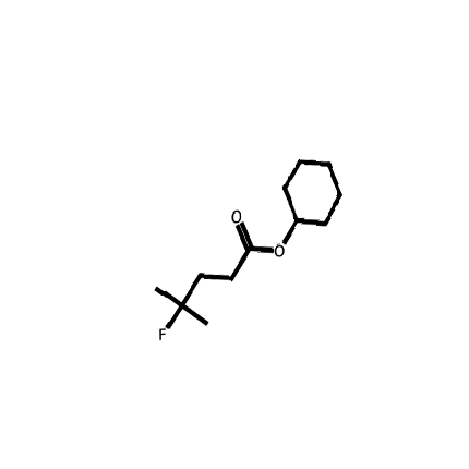 CC(C)(F)CCC(=O)OC1CCCCC1